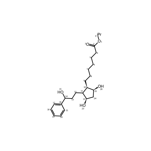 CC(C)OC(=O)CCCCCC[C@@H]1C(CCC(O)c2ccccc2)[C@H](O)C[C@@H]1O